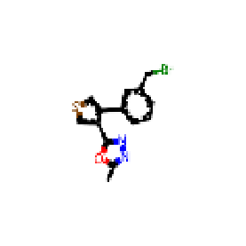 Cc1nnc(-c2cscc2-c2cccc(CBr)c2)o1